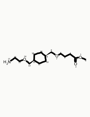 COC(=O)CCCOC[C@H]1CC[C@@H](COCCN)CC1